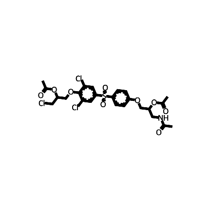 CC(=O)NCC(COc1ccc(S(=O)(=O)c2cc(Cl)c(OCC(CCl)OC(C)=O)c(Cl)c2)cc1)OC(C)=O